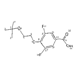 CC(C)(C)OCCOc1c(F)cc(C(=O)O)cc1F